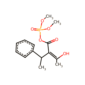 COP(=O)(OC)OC(=O)/C(=C(/C)O)C(C)c1ccccc1